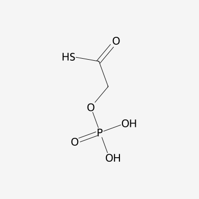 O=C(S)COP(=O)(O)O